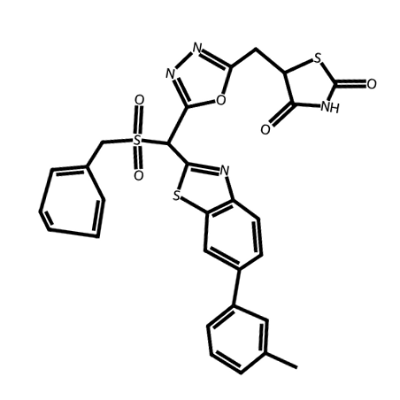 Cc1cccc(-c2ccc3nc(C(c4nnc(CC5SC(=O)NC5=O)o4)S(=O)(=O)Cc4ccccc4)sc3c2)c1